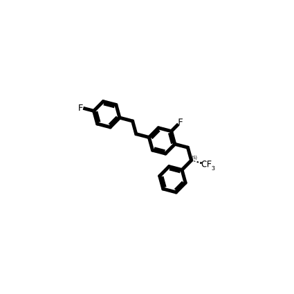 Fc1ccc(CCc2ccc(C[C@@H](c3ccccc3)C(F)(F)F)c(F)c2)cc1